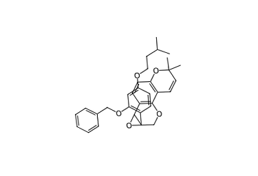 CC(C)CCOc1ccc(C23COc4c(ccc5c4C=CC(C)(C)O5)C2O3)c(OCc2ccccc2)c1